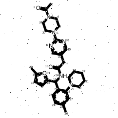 CC(=O)N1CCN(c2ncc(CC(=O)NC(c3ccc(C)o3)c3ccc(C)cc3N3CCCCC3)cn2)CC1